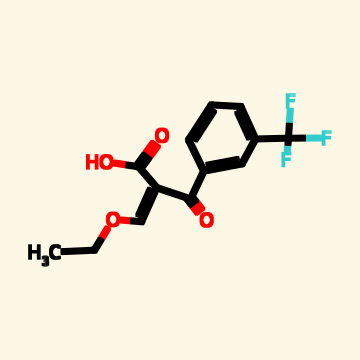 CCOC=C(C(=O)O)C(=O)c1cccc(C(F)(F)F)c1